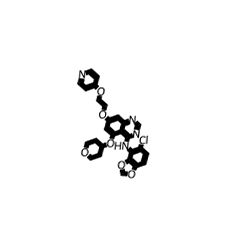 Clc1ccc2c(c1Nc1ncnc3cc(OCCOc4ccncc4)cc(OC4CCOCC4)c13)OCO2